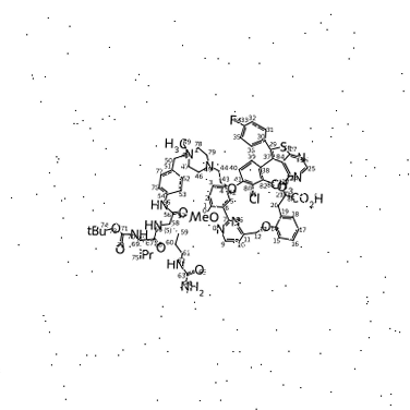 COc1ccccc1-c1nccc(COc2ccccc2C[C@@H](Oc2ncnc3sc(-c4ccc(F)cc4)c(-c4ccc(OCCN5CC[N+](C)(Cc6ccc(NC(=O)[C@H](CCCNC(N)=O)NC(=O)[C@@H](NC(=O)OC(C)(C)C)C(C)C)cc6)CC5)c(Cl)c4C)c23)C(=O)O)n1